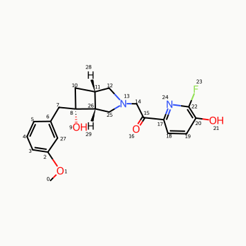 COc1cccc(C[C@@]2(O)C[C@@H]3CN(CC(=O)c4ccc(O)c(F)n4)C[C@@H]32)c1